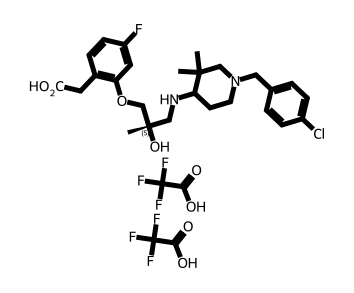 CC1(C)CN(Cc2ccc(Cl)cc2)CCC1NC[C@](C)(O)COc1cc(F)ccc1CC(=O)O.O=C(O)C(F)(F)F.O=C(O)C(F)(F)F